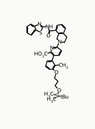 Cc1c(OCCCO[Si](C)(C)C(C)(C)C)cccc1-c1ccc(N2CCc3cccc(C(=O)Nc4nc5ccccc5s4)c3C2)nc1C(=O)O